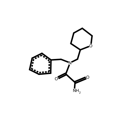 NC(=O)C(=O)N(Cc1ccccc1)CC1CCCCO1